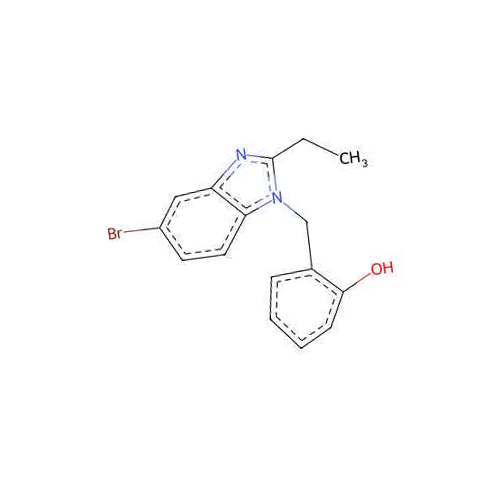 CCc1nc2cc(Br)ccc2n1Cc1ccccc1O